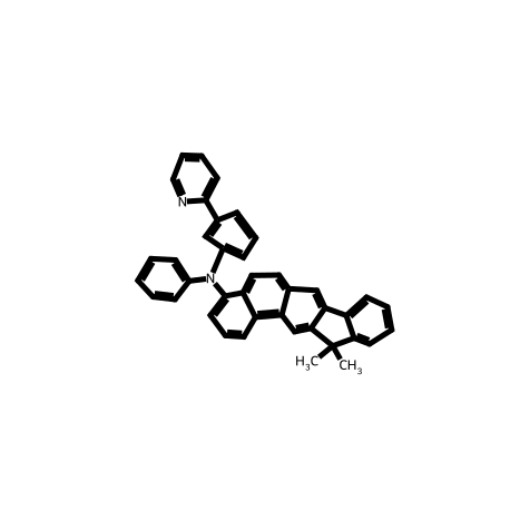 CC1(C)c2ccccc2-c2cc3ccc4c(N(c5ccccc5)c5cccc(-c6ccccn6)c5)cccc4c3cc21